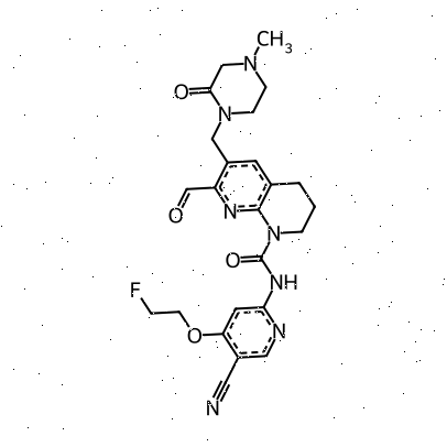 CN1CCN(Cc2cc3c(nc2C=O)N(C(=O)Nc2cc(OCCF)c(C#N)cn2)CCC3)C(=O)C1